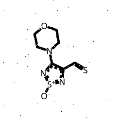 [O-][s+]1nc(C=S)c(N2CCOCC2)n1